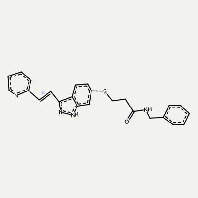 O=C(CCSc1ccc2c(/C=C/c3ccccn3)n[nH]c2c1)NCc1ccccc1